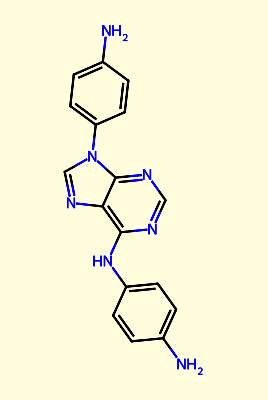 Nc1ccc(Nc2ncnc3c2ncn3-c2ccc(N)cc2)cc1